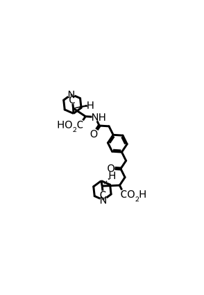 O=C(Cc1ccc(CC(=O)NC(C(=O)O)[C@H]2CN3CCC2CC3)cc1)CC(C(=O)O)[C@H]1CN2CCC1CC2